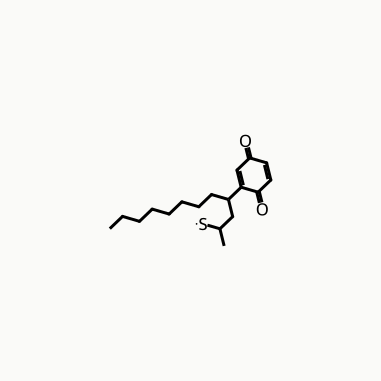 CCCCCCCCC(CC(C)[S])C1=CC(=O)C=CC1=O